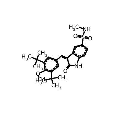 CNS(=O)(=O)c1ccc2c(c1)C(=Cc1cc(C(C)(C)C)c(OC)c(C(C)(C)C)c1)C(=O)N2